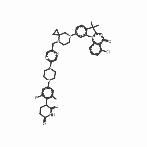 CC1(C)c2ccc(N3CCN(Cc4cnc(N5CCN(c6cc(F)c(C7CCC(=O)NC7=O)c(F)c6)CC5)cn4)C4(CC4)C3)cc2-n2c1nc(=O)c1c(Cl)cccc12